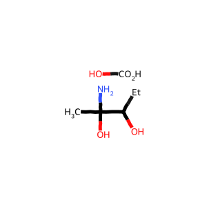 CCC(O)C(C)(N)O.O=C(O)O